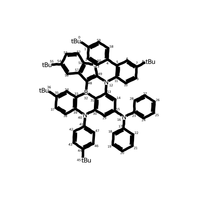 CC(C)(C)c1ccc(-c2cc(C(C)(C)C)ccc2N2c3cc(N(c4ccccc4)c4ccccc4)cc4c3B(c3cc(C(C)(C)C)ccc3N4c3ccc(C(C)(C)C)cc3)c3c2sc2ccc(C(C)(C)C)cc32)cc1